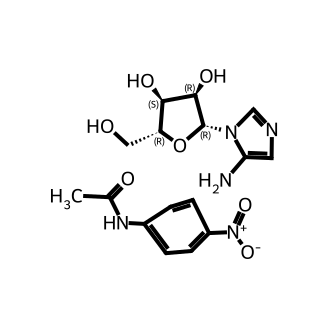 CC(=O)Nc1ccc([N+](=O)[O-])cc1.Nc1cncn1[C@@H]1O[C@H](CO)[C@@H](O)[C@H]1O